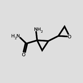 NC(=O)C1(N)CC1C1CO1